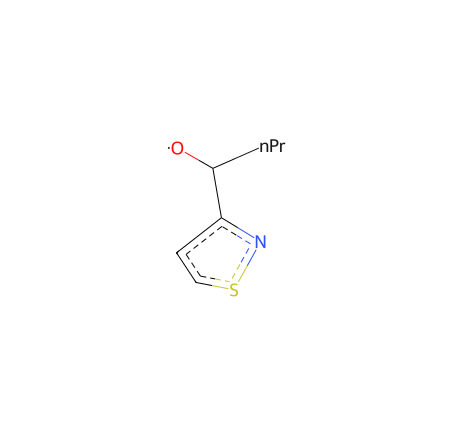 CCCC([O])c1ccsn1